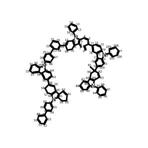 C=CC(/C=C\c1c(C)c2c(n1-c1ccccc1)C=C(c1cccc(-c3ccc(-n4c5ccccc5c5cc(C6=Cc7c8c(n(-c9ccc(-c%10ccccc%10)cc9)c7CC6)CCC=C8)ccc54)cc3)c1)CC2)c1ccc2c(c1)c1cc(C3(C)C=Cc4c(c5ccccc5n4-c4ccccc4)C3)ccc1n2-c1ccccc1